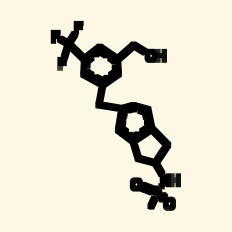 CS(=O)(=O)NC1Cc2ccc(Cc3cc(CO)cc(C(F)(F)F)c3)cc2C1